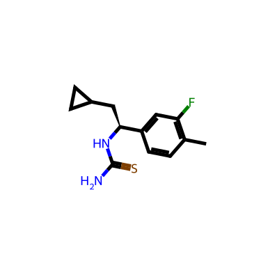 Cc1ccc([C@H](CC2CC2)NC(N)=S)cc1F